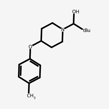 Cc1ccc(OC2CCN(C(O)C(C)(C)C)CC2)cc1